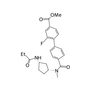 CCC(=O)N[C@H]1CC[C@@H](N(C)C(=O)c2ccc(-c3ccc(C(=O)OC)cc3F)cc2)C1